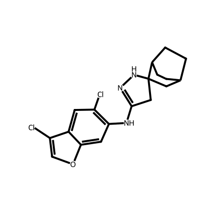 Clc1cc2c(Cl)coc2cc1NC1=NNC2(C1)CC1CCC2CC1